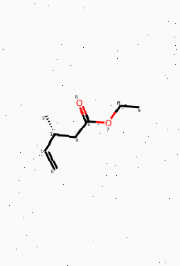 C=C[C@H](C)CC(=O)OCC